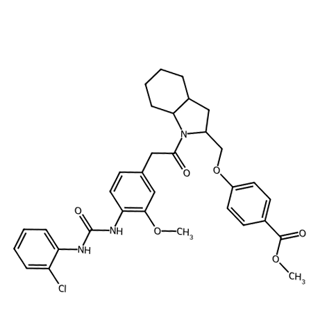 COC(=O)c1ccc(OCC2CC3CCCCC3N2C(=O)Cc2ccc(NC(=O)Nc3ccccc3Cl)c(OC)c2)cc1